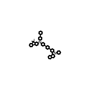 CC1(I)c2ccccc2-c2ccc(N(c3ccc(-c4ccccc4)cc3)c3ccc(-c4ccc(-c5ccc6c(c5)c5c7ccccc7ccc5n6-c5ccccc5)cc4)cc3)cc21